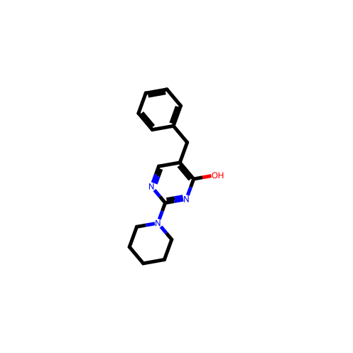 Oc1nc(N2CCCCC2)ncc1Cc1ccccc1